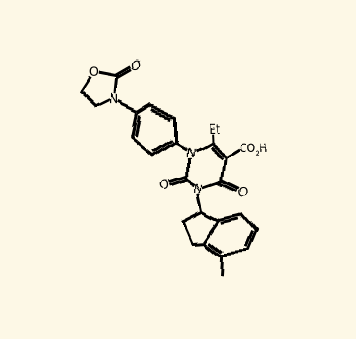 CCc1c(C(=O)O)c(=O)n(C2CCc3c(C)cccc32)c(=O)n1-c1ccc(N2CCOC2=O)cc1